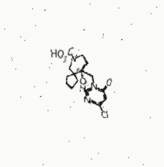 O=C(O)N1CC[C@](O)(Cn2cnc(Cl)cc2=O)C2(CCCC2)C1